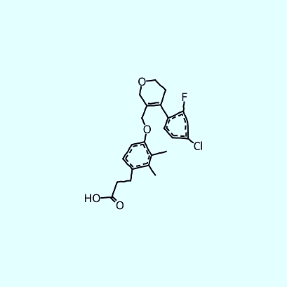 Cc1c(CCC(=O)O)ccc(OCC2=C(c3ccc(Cl)cc3F)CCOC2)c1C